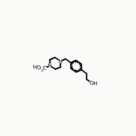 O=C(O)N1CCN(Cc2ccc(CCO)cc2)CC1